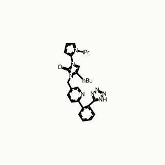 CCCCc1cn(-c2cccn2C(C)C)c(=O)n1Cc1ccc(-c2ccccc2-c2nnn[nH]2)nc1